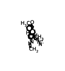 C=BN=N[C@@H]1CC[C@]2(C)[C@H](CC[C@@]34CC(=O)[C@@](C)(CC[C@H]32)C4)[C@]1(C)CN=[N+]=[N-]